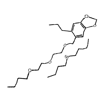 CCCCOCCOCCOCc1cc2c(cc1CCC)OCO2.CCC[CH2][Sn][CH2]CCC